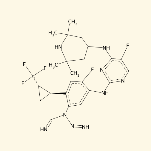 CC1(C)CC(Nc2nc(Nc3cc(N(C=N)N=N)c([C@H]4C[C@@H]4C(F)(F)F)cc3F)ncc2F)CC(C)(C)N1